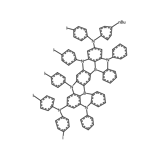 CCCCc1ccc(N(c2ccc(I)cc2)c2cc3c4c(c2)N(c2ccc(I)cc2)c2cc5c(cc2B4c2ccccc2N3c2ccccc2)B2c3ccccc3N(c3ccccc3)c3cc(N(c4ccc(I)cc4)c4ccc(I)cc4)cc(c32)N5c2ccc(I)cc2)cc1